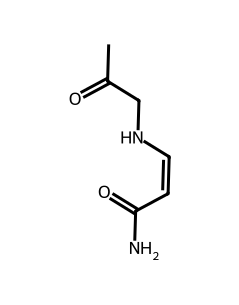 CC(=O)CN/C=C\C(N)=O